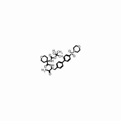 CC(C)(C)OC(=O)NC1(C(=O)N[C@@H](Cc2ccc(-c3ccc(S(=O)(=O)N4CCOCC4)cc3)cc2)C(N)=O)CCOCC1